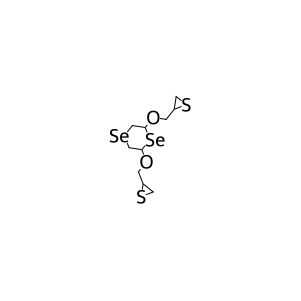 C(OC1C[Se]CC(OCC2CS2)[Se]1)C1CS1